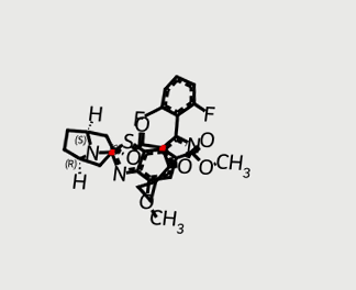 COC(=O)c1cc(OC)c2nc(N3[C@@H]4CC[C@H]3C[C@H](OC(=O)c3c(-c5c(F)cccc5F)noc3C3CC3)C4)sc2c1